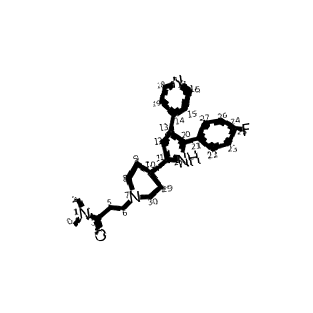 CN(C)C(=O)CCN1CCC(c2cc(-c3ccncc3)c(-c3ccc(F)cc3)[nH]2)CC1